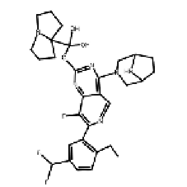 CCc1ccc(C(F)F)cc1-c1ncc2c(N3CC4CCC(C3)N4)nc(OC(O)(O)C34CCCN3CCC4)nc2c1F